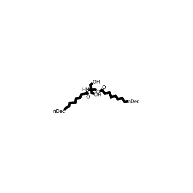 CCCCCCCCCCCCCCCCCC(=O)NC(CO)(CO)COC(=O)CCCCCCCCCCCCCCCCC